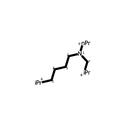 CCCN(CCCCC(C)C)CC(C)C